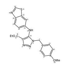 CCOC(=O)c1nnn(Cc2ccc(OC)cc2)c1Nc1ccc2ncsc2c1